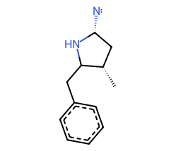 C[C@H]1C[C@@H]([N])NC1Cc1ccccc1